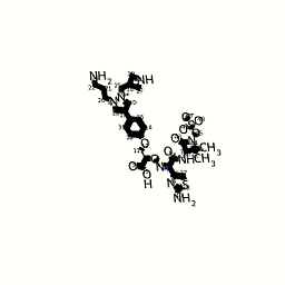 CC1(C)[C@H](NC(=O)/C(=N\O[C@@H](COc2ccc(-c3cn(CCCN)[n+](CC4CNC4)c3)cc2)C(=O)O)c2csc(N)n2)C(=O)N1OS(=O)(=O)[O-]